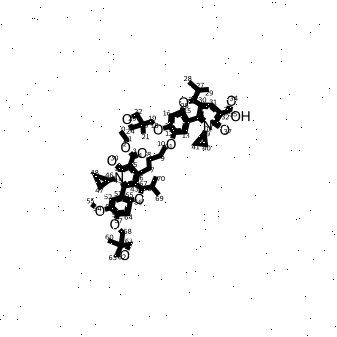 CCOC(=O)c1c(CCCCOc2cc3c(cc2OCC2(C)COC2)OC(C(C)C)c2cc(C(=O)O)c(=O)n(C4CC4)c2-3)c2c(n(C3CC3)c1=O)-c1cc(OC)c(OCC3(C)COC3)cc1OC2C(C)C